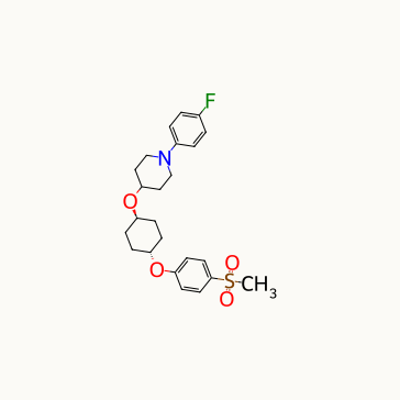 CS(=O)(=O)c1ccc(O[C@H]2CC[C@H](OC3CCN(c4ccc(F)cc4)CC3)CC2)cc1